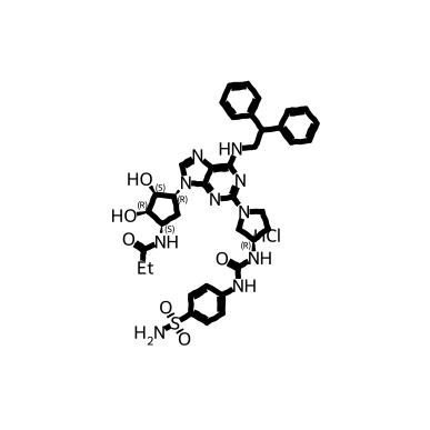 CCC(=O)N[C@H]1C[C@@H](n2cnc3c(NCC(c4ccccc4)c4ccccc4)nc(N4CC[C@@H](NC(=O)Nc5ccc(S(N)(=O)=O)cc5)C4)nc32)[C@H](O)[C@@H]1O.Cl